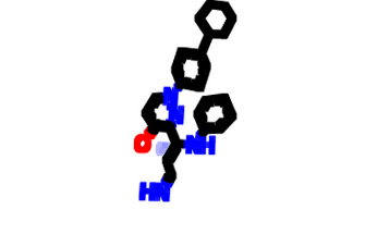 N=C/C=C(\Nc1ccccc1)c1nn(-c2ccc(C3CCCCC3)cc2)ccc1=O